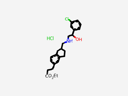 CCOC(=O)CCc1ccc2c(c1)CCC(CNCC(O)c1cccc(Cl)c1)C2.Cl